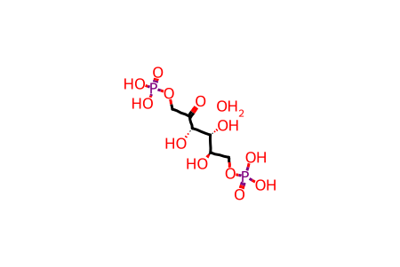 O.O=C(COP(=O)(O)O)[C@@H](O)[C@H](O)[C@H](O)COP(=O)(O)O